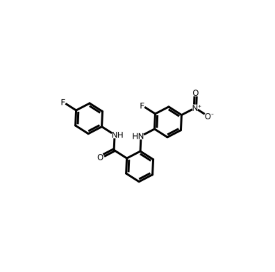 O=C(Nc1ccc(F)cc1)c1ccccc1Nc1ccc([N+](=O)[O-])cc1F